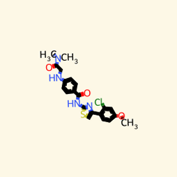 COc1ccc(-c2csc(NC(=O)c3ccc(NCC(=O)N(C)C)cc3)n2)c(Cl)c1